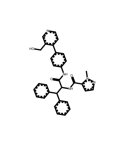 Cn1nccc1C(=O)NC(C(=O)Nc1ccc(-c2ccncc2CO)cc1)C(c1ccccc1)c1ccccc1